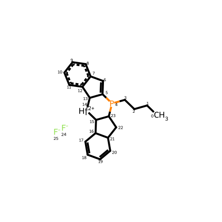 CCCCP1C2=Cc3ccccc3[CH]2[Hf+2][CH]2C3C=CC=CC3CC21.[F-].[F-]